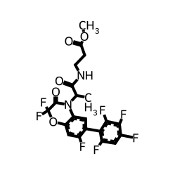 COC(=O)CCNC(=O)C(C)N1C(=O)C(F)(F)Oc2cc(F)c(-c3c(F)cc(F)c(F)c3F)cc21